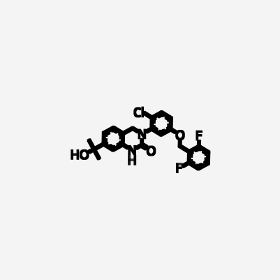 CC(C)(O)c1ccc2c(c1)NC(=O)N(c1cc(OCc3c(F)cccc3F)ccc1Cl)C2